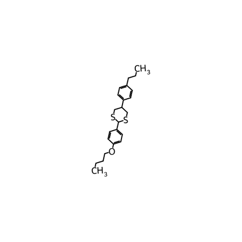 CCCCOc1ccc(C2SCC(c3ccc(CCC)cc3)CS2)cc1